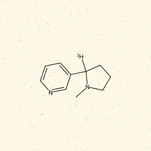 [2H]C1(c2cccnc2)CCCN1C